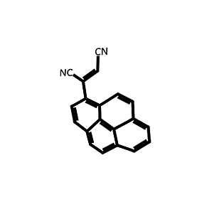 N#CC=C(C#N)c1ccc2ccc3cccc4ccc1c2c34